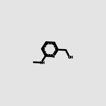 CNc1cccc(CO)n1